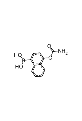 NC(=O)Oc1ccc(B(O)O)c2ccccc12